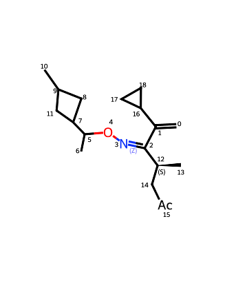 C=C(/C(=N\OC(C)C1CC(C)C1)[C@@H](C)CC(C)=O)C1CC1